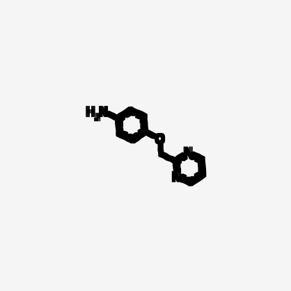 Nc1ccc(OCc2ncccn2)cc1